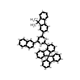 CC1(C)c2ccccc2-c2ccc(-c3cc(-c4ccc5ccccc5c4)nc(-c4cccc5c4-c4ccccc4C54c5ccccc5-c5ccccc54)n3)cc21